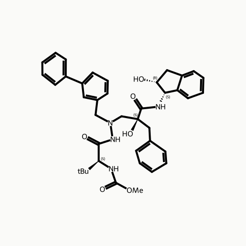 COC(=O)N[C@H](C(=O)NN(Cc1cccc(-c2ccccc2)c1)C[C@@](O)(Cc1ccccc1)C(=O)N[C@H]1c2ccccc2C[C@H]1O)C(C)(C)C